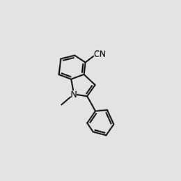 Cn1c(-c2ccccc2)cc2c(C#N)cccc21